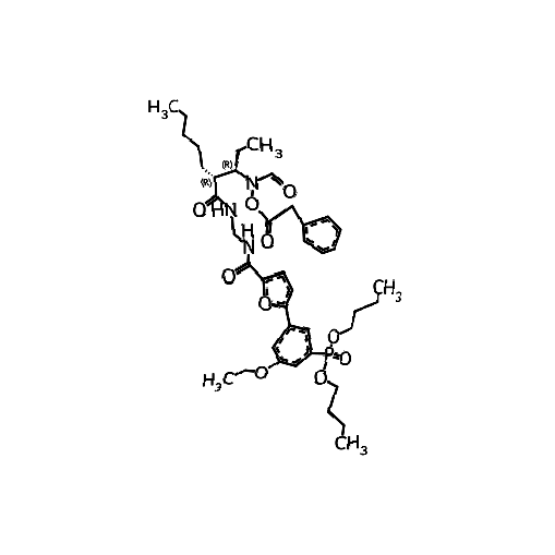 CCCCC[C@@H](C(=O)NCNC(=O)c1ccc(-c2cc(OCC)cc(P(=O)(OCCCC)OCCCC)c2)o1)[C@@H](CC)N(C=O)OC(=O)Cc1ccccc1